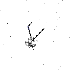 CCCCC/C=C\C=C\CCCCCCCCC(=O)N[C@@H](COC1OC(CO)C(O)C(O)C1O)[C@H](O)CCCCCCCCCCCCCCC